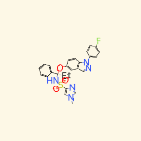 CC[C@@](NS(=O)(=O)c1cn(C)cn1)(Oc1ccc2c(cnn2-c2ccc(F)cc2)c1)c1ccccc1